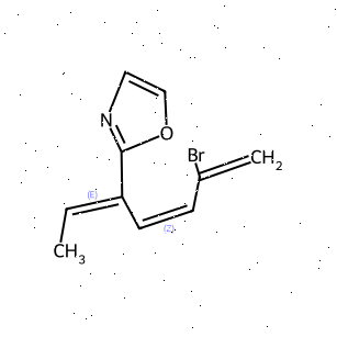 C=C(Br)/C=C\C(=C/C)c1ncco1